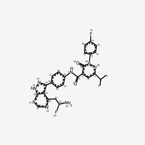 CC(C)c1cc(C(=O)Nc2ccc(-c3n[nH]c4ncnc(CC(N)F)c34)cc2)c(=O)n(-c2ccc(F)cc2)n1